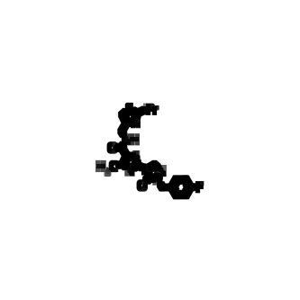 Cc1nc(-n2cnn(Cc3ccc(F)cc3)c2=O)sc1C(=O)NCc1csc(C(C)C)n1